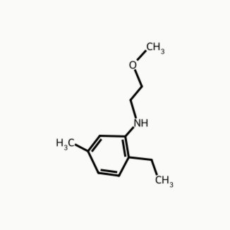 CCc1ccc(C)cc1NCCOC